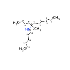 CCCCCCCC(C)(CCCC)NCCCCCC